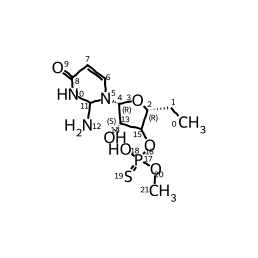 CC[C@H]1O[C@@H](N2C=CC(=O)NC2N)[C@@H](O)C1OP(O)(=S)OC